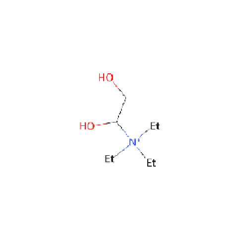 CC[N+](CC)(CC)C(O)CO